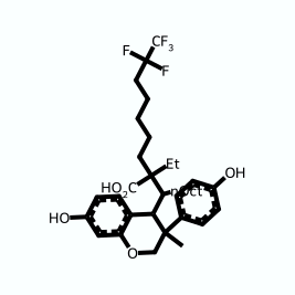 CCCCCCCCC(C1c2ccc(O)cc2OCC1(C)c1ccc(O)cc1)C(CC)(CCCCCC(F)(F)C(F)(F)F)C(=O)O